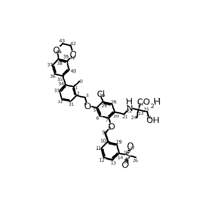 Cc1c(COc2cc(OCc3cccc(S(C)(=O)=O)c3)c(CN[C@@](C)(CO)C(=O)O)cc2Cl)cccc1-c1ccc2c(c1)OCCO2